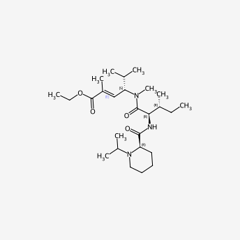 CCOC(=O)/C(C)=C/[C@H](C(C)C)N(C)C(=O)[C@H](NC(=O)[C@H]1CCCCN1C(C)C)[C@H](C)CC